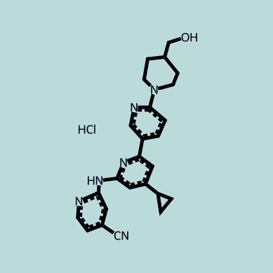 Cl.N#Cc1ccnc(Nc2cc(C3CC3)cc(-c3ccc(N4CCC(CO)CC4)nc3)n2)c1